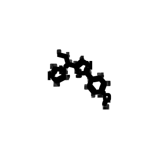 CCC(c1cnc(-c2ccc(OC)cc2)s1)n1ccnc1